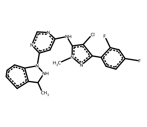 CC1NN(c2cc(Nc3c(Cl)c(-c4ccc(F)cc4F)nn3C)ncn2)c2ccccc21